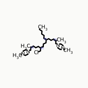 CCCCC/C=C(\CC/C=C(/C)CN1CCN(C)CC1)CC/C=C(/CCl)CC/C=C(/C)CN1CCN(C)CC1